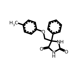 Cc1ccc(OCC2(c3ccccc3)NC(=O)NC2=O)cc1